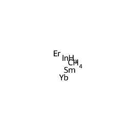 C.[Er].[InH3].[Sm].[Yb]